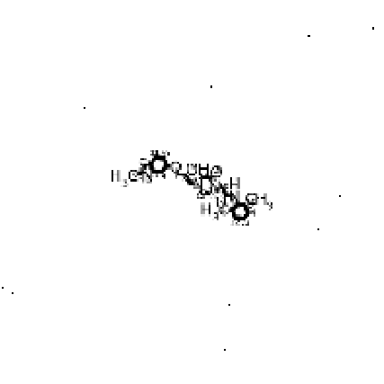 Cc1nc2cc(OCC(O)CN3CCN(CC(=O)Nc4c(C)cccc4C)C(=O)C3)ccc2s1